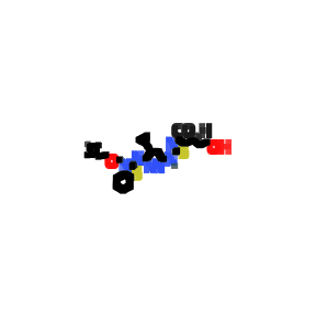 CN(c1cc(C2CC2)c(/N=c2\sc3ccccc3n2COCC[Si](C)(C)C)nn1)c1nc(C(=O)O)c(CCCO)s1